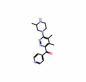 Cc1c(C(=O)c2ccncc2)nnc(N2CCNC(C)C2)c1C